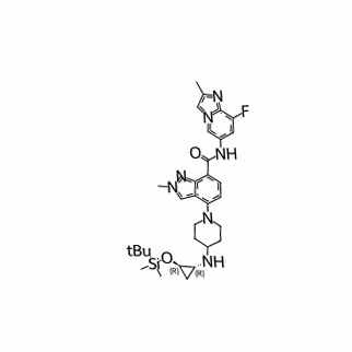 Cc1cn2cc(NC(=O)c3ccc(N4CCC(N[C@@H]5C[C@H]5O[Si](C)(C)C(C)(C)C)CC4)c4cn(C)nc34)cc(F)c2n1